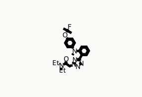 CCN(CC)C(=O)Cn1nnc(-c2ccccc2N(C)c2ccc(OC(C)(C)F)cc2)n1